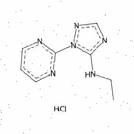 CCNc1ncnn1-c1ncccn1.Cl